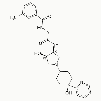 O=C(CNC(=O)c1cccc(C(F)(F)F)c1)N[C@H]1CN(C2CCC(O)(c3ccccn3)CC2)C[C@H]1O